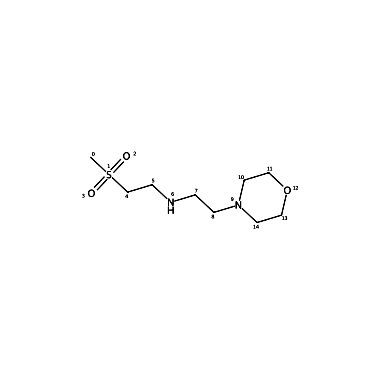 CS(=O)(=O)CCNCCN1CCOCC1